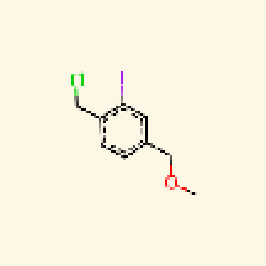 COCc1ccc(CCl)c(I)c1